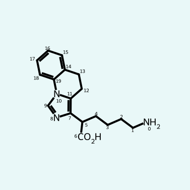 NCCCCC(C(=O)O)c1ncn2c1CCc1ccccc1-2